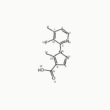 Cc1ccnc(-n2ncc(C(=O)O)c2C)c1F